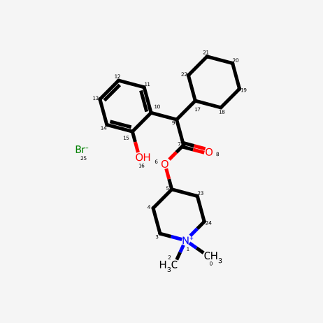 C[N+]1(C)CCC(OC(=O)C(c2ccccc2O)C2CCCCC2)CC1.[Br-]